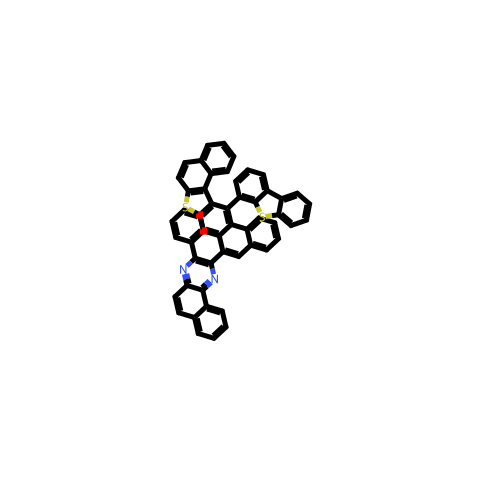 c1ccc(-c2nc3ccc4ccccc4c3nc2-c2cc3ccccc3c3c(-c4cccc5c4sc4ccccc45)c4c(cc23)sc2ccc3ccccc3c24)cc1